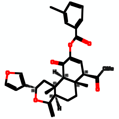 C=C1O[C@H](c2ccoc2)C[C@]2(C)[C@H]3C(=O)C(OC(=O)c4cccc(C)c4)=C[C@@H](C(=O)OC)[C@]3(C)CC[C@@H]12